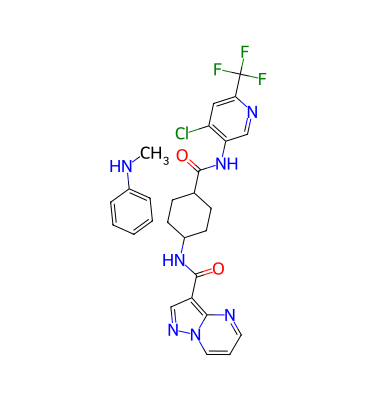 CNc1ccccc1.O=C(NC1CCC(C(=O)Nc2cnc(C(F)(F)F)cc2Cl)CC1)c1cnn2cccnc12